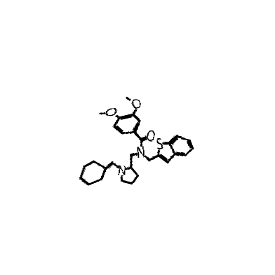 COc1ccc(C(=O)N(Cc2cc3ccccc3s2)CC2CCCN2CC2CCCCC2)cc1OC